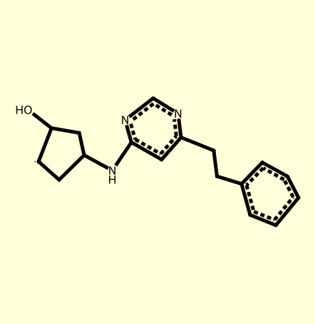 OC1[CH]CC(Nc2cc(CCc3ccccc3)ncn2)C1